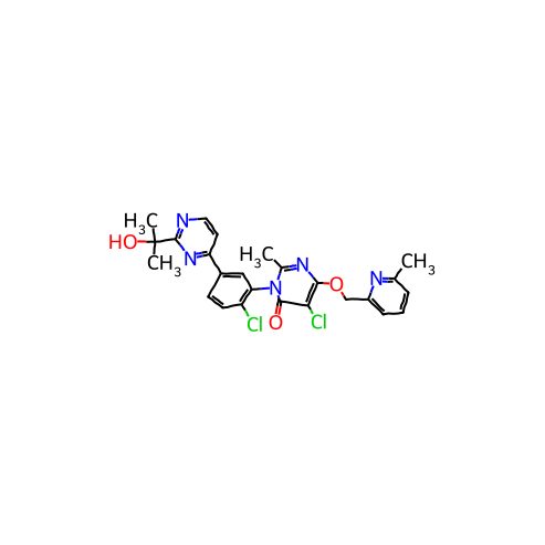 Cc1cccc(COc2nc(C)n(-c3cc(-c4ccnc(C(C)(C)O)n4)ccc3Cl)c(=O)c2Cl)n1